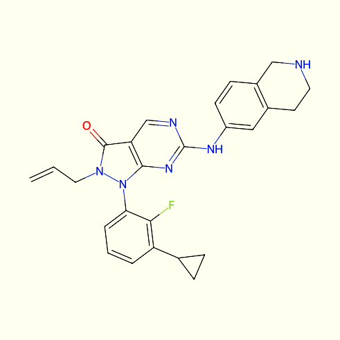 C=CCn1c(=O)c2cnc(Nc3ccc4c(c3)CCNC4)nc2n1-c1cccc(C2CC2)c1F